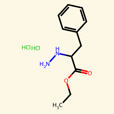 CCOC(=O)C(Cc1ccccc1)NN.Cl.Cl